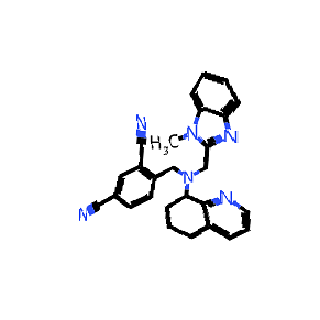 Cn1c(CN(Cc2ccc(C#N)cc2C#N)C2CCCc3cccnc32)nc2ccccc21